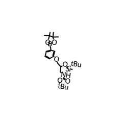 CC(C)(C)OC(=O)NCC(COc1cccc(B2OC(C)(C)C(C)(C)O2)c1)O[Si](C)(C)C(C)(C)C